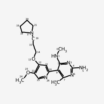 CNc1nc(N)nc(C)c1-c1cc(OCCCN2CCCC2)c(OC)cn1